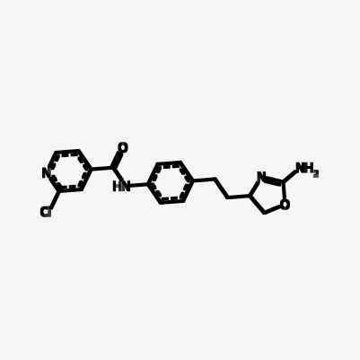 NC1=NC(CCc2ccc(NC(=O)c3ccnc(Cl)c3)cc2)CO1